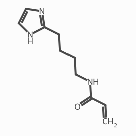 C=CC(=O)NCCCCc1ncc[nH]1